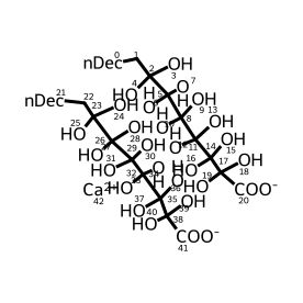 CCCCCCCCCCCC(O)(O)C(O)(O)C(O)(O)C(O)(O)C(O)(O)C(O)(O)C(=O)[O-].CCCCCCCCCCCC(O)(O)C(O)(O)C(O)(O)C(O)(O)C(O)(O)C(O)(O)C(=O)[O-].[Ca+2]